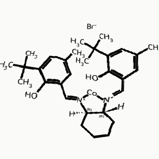 Cc1cc(C=[N+]2[Co][N+](=Cc3cc(C)cc(C(C)(C)C)c3O)[C@@H]3CCCC[C@H]32)c(O)c(C(C)(C)C)c1.[Br-]